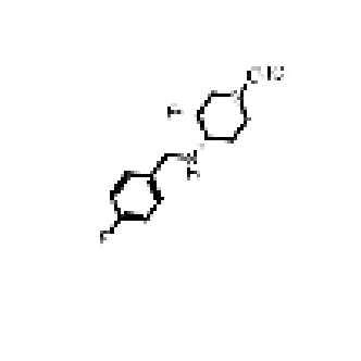 O=[C]N1CC[C@H](NCc2ccc(F)cc2)[C@H](F)C1